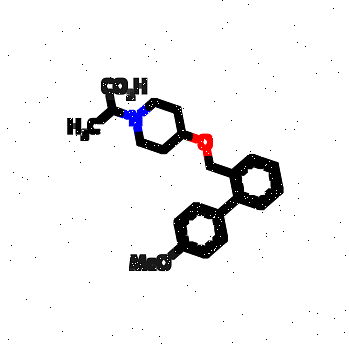 COc1ccc(-c2ccccc2COC2CCN(C(C)C(=O)O)CC2)cc1